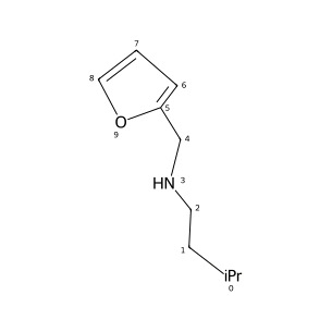 CC(C)CCNCc1ccco1